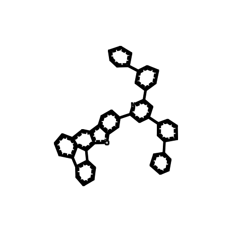 c1ccc(-c2cccc(-c3cc(-c4cccc(-c5ccccc5)c4)nc(-c4ccc5c(c4)oc4c6c7c(cccc7cc45)-c4ccccc4-6)c3)c2)cc1